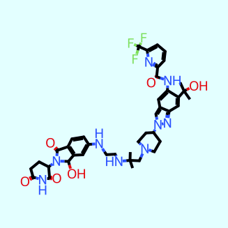 CC(C)(CN1CCC(n2cc3cc(NC(=O)c4cccc(C(F)(F)F)n4)c(C(C)(C)O)cc3n2)CC1)NCCNc1ccc2c(c1)C(O)N(C1CCC(=O)NC1=O)C2=O